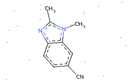 Cc1nc2ccc(C#N)cc2n1C